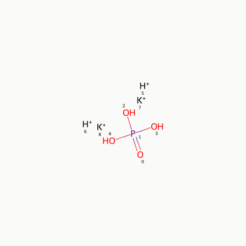 O=P(O)(O)O.[H+].[H+].[K+].[K+]